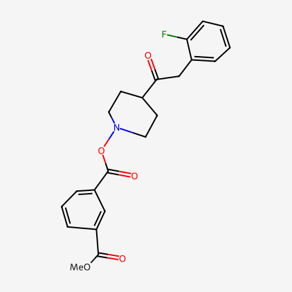 COC(=O)c1cccc(C(=O)ON2CCC(C(=O)Cc3ccccc3F)CC2)c1